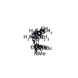 CNCCNC(=O)[C@@H](CCCN/C(N)=N\S(=O)(=O)c1c(C)c(C)c2c(c1C)CC(C)(C)O2)NC(=O)CC(=O)OC(C)(C)C